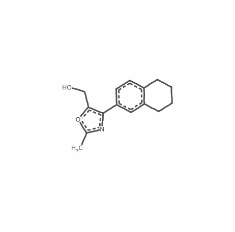 Cc1nc(-c2ccc3c(c2)CCCC3)c(CO)o1